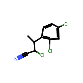 CC(c1ccc(Cl)cc1Cl)C(Cl)C#N